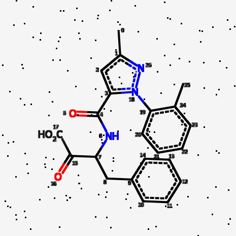 Cc1cc(C(=O)NC(Cc2ccccc2)C(=O)C(=O)O)n(-c2ccccc2C)n1